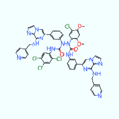 COc1cc(OC)c(N(C(=O)Nc2cccc(-c3cn4ccnc4c(NCc4ccncc4)n3)c2)N(C(=O)Nc2cc(Cl)c(Cl)cc2Cl)c2cccc(-c3cn4ccnc4c(NCc4ccncc4)n3)c2)cc1Cl